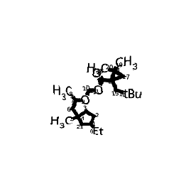 CCC1CCC(C)(CC(C)OCOC(=O)C2(CC(C)(C)C)CC2(C)C)C1